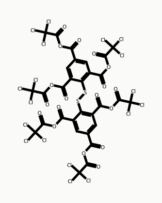 O=C(OC(=O)C(Cl)(Cl)Cl)c1cc(C(=O)OC(=O)C(Cl)(Cl)Cl)c(SSc2c(C(=O)OC(=O)C(Cl)(Cl)Cl)cc(C(=O)OC(=O)C(Cl)(Cl)Cl)cc2C(=O)OC(=O)C(Cl)(Cl)Cl)c(C(=O)OC(=O)C(Cl)(Cl)Cl)c1